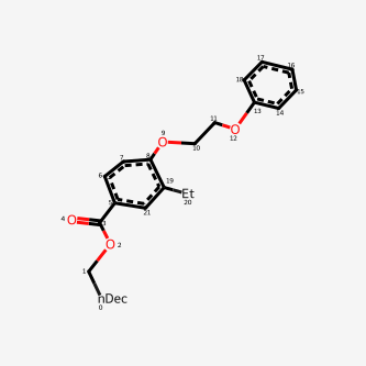 CCCCCCCCCCCOC(=O)c1ccc(OCCOc2ccccc2)c(CC)c1